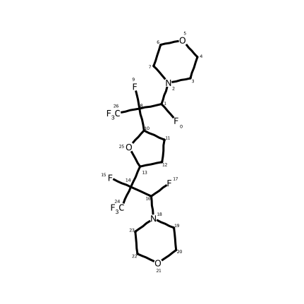 FC(N1CCOCC1)C(F)(C1CCC(C(F)(C(F)N2CCOCC2)C(F)(F)F)O1)C(F)(F)F